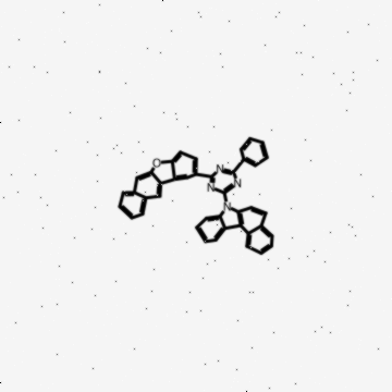 c1ccc(-c2nc(-c3ccc4oc5cc6ccccc6cc5c4c3)nc(-n3c4ccccc4c4c5ccccc5ccc43)n2)cc1